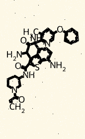 C=CC(=O)N1CCCC(NC(=O)c2sc3c(N)ccc4c3c2C(N)C(=O)C4(N)c2ncc(Oc3ccccc3)cc2C)C1